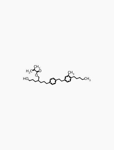 C=C(C)C(=O)OCC(CCCO)CCCc1ccc(CCc2ccc(CCCCC)c(C)c2)cc1